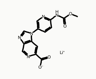 COC(=O)Nc1ccc(-n2cnc3cnc(C(=O)[O-])cc32)cn1.[Li+]